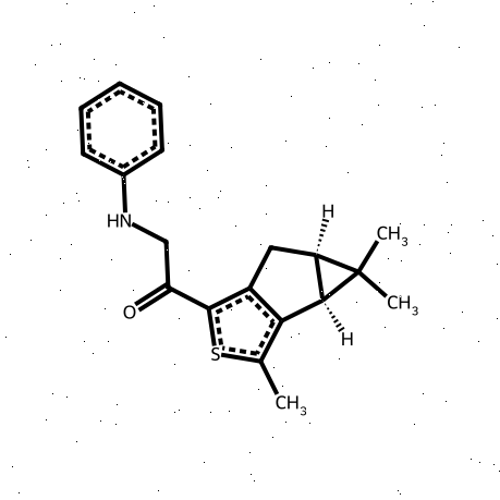 Cc1sc(C(=O)CNc2ccccc2)c2c1[C@H]1[C@@H](C2)C1(C)C